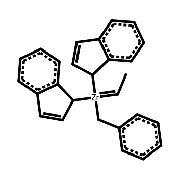 C[CH]=[Zr]([CH2]c1ccccc1)([CH]1C=Cc2ccccc21)[CH]1C=Cc2ccccc21